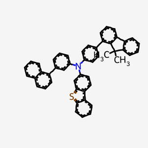 CC1(C)c2ccccc2-c2cccc(-c3ccc(N(c4cccc(-c5cccc6ccccc56)c4)c4ccc5c(c4)sc4ccccc45)cc3)c21